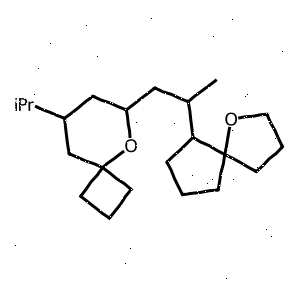 CC(C)C1CC(CC(C)C2CCCC23CCCO3)OC2(CCC2)C1